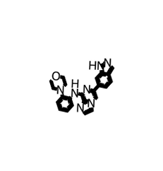 c1ccc(N2CCOCC2)c(Nc2nc(-c3ccc4cn[nH]c4c3)cn3ccnc23)c1